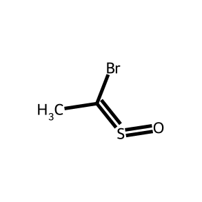 CC(Br)=S=O